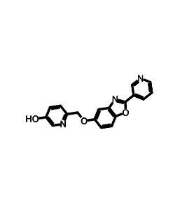 Oc1ccc(COc2ccc3oc(-c4cccnc4)nc3c2)nc1